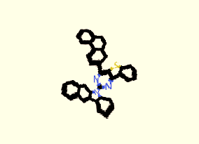 c1ccc2cc3c(cc2c1)c1ccccc1n3-c1nc(-c2ccc3c(ccc4ccccc43)c2)c2sc3ccccc3c2n1